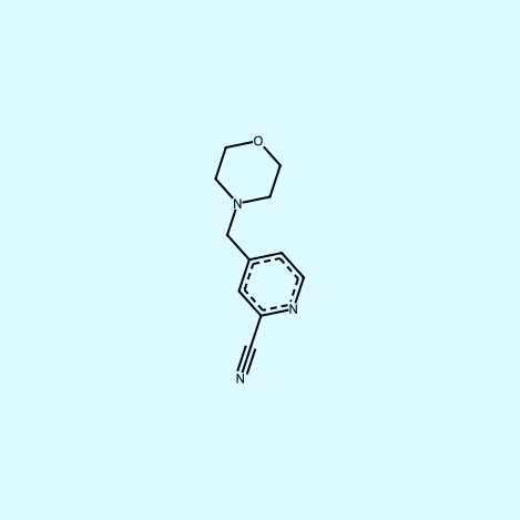 N#Cc1cc(CN2CCOCC2)ccn1